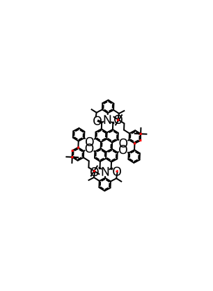 CC(C)c1cccc(C(C)C)c1N1C(=O)c2cc(Oc3ccccc3CCC(C)(C)C)c3c4c(Oc5ccccc5CCC(C)(C)C)cc5c6c(cc(Oc7ccccc7CCC(C)(C)C)c(c7c(Oc8ccccc8CCC(C)(C)C)cc(c2c37)C1=O)c64)C(=O)N(c1c(C(C)C)cccc1C(C)C)C5=O